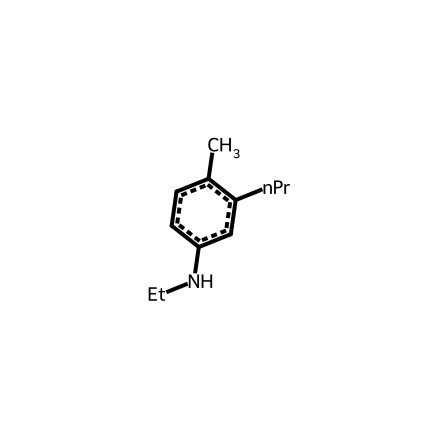 CCCc1cc(NCC)ccc1C